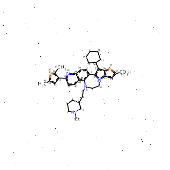 CCN1CCCC(CCN2CCn3c(c(C4CCCCC4)c4sc(C(=O)O)cc43)-c3ccc4nc(-c5cc(C)sc5C)ccc4c32)C1